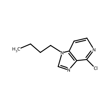 CCCCn1cnc2c(Cl)nccc21